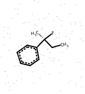 CC[C@](C)(F)c1ccccc1